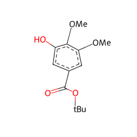 COc1cc(C(=O)OC(C)(C)C)cc(O)c1OC